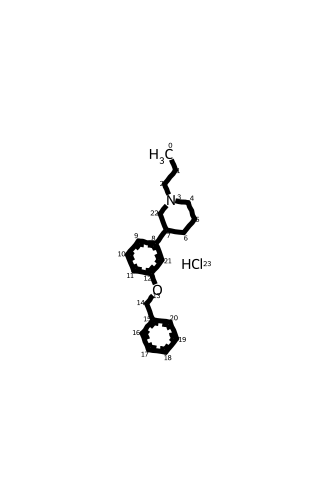 CCCN1CCCC(c2cccc(OCc3ccccc3)c2)C1.Cl